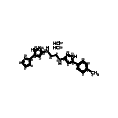 Cc1ccc(-c2cc(NCCNc3cc(-c4cccs4)[nH]n3)n[nH]2)cc1.Cl.Cl